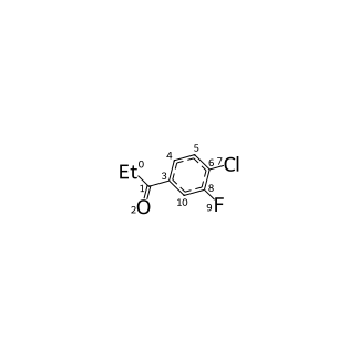 CCC(=O)c1ccc(Cl)c(F)c1